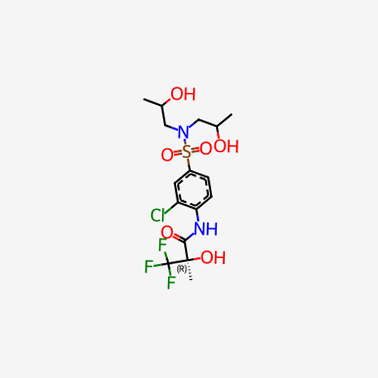 CC(O)CN(CC(C)O)S(=O)(=O)c1ccc(NC(=O)[C@@](C)(O)C(F)(F)F)c(Cl)c1